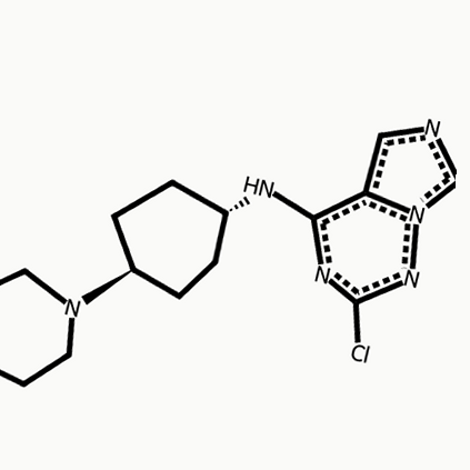 Clc1nc(N[C@H]2CC[C@H](N3CCOCC3)CC2)c2cncn2n1